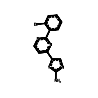 CCc1ccccc1-c1nccc(-c2cnc(N)s2)n1